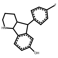 Oc1ccc2c(c1)C(c1ccc(F)cc1)C1CCCNC21